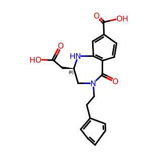 O=C(O)C[C@@H]1CN(CCc2ccccc2)C(=O)c2ccc(C(=O)O)cc2N1